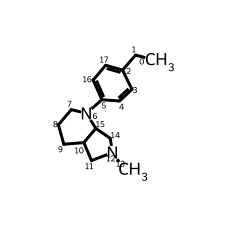 CCc1ccc(N2CCCC3CN(C)CC32)cc1